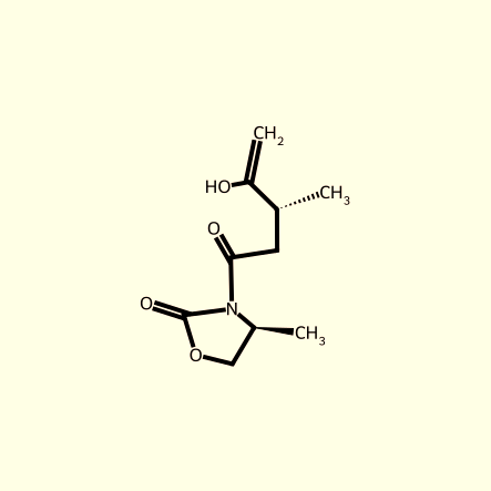 C=C(O)[C@H](C)CC(=O)N1C(=O)OC[C@@H]1C